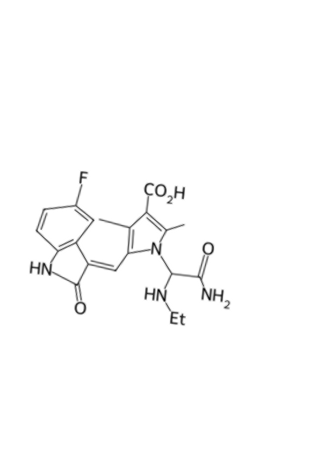 CCNC(C(N)=O)n1c(C)c(C(=O)O)c(C)c1C=C1C(=O)Nc2ccc(F)cc21